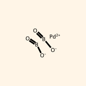 O=B[O-].O=B[O-].[Pd+2]